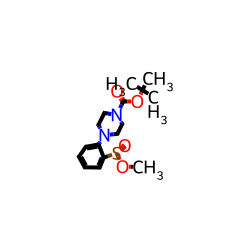 COS(=O)c1ccccc1N1CCN(C(=O)OC(C)(C)C)CC1